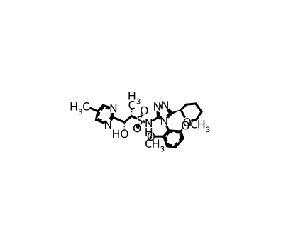 COc1cccc(OC)c1-n1c(NS(=O)(=O)[C@@H](C)[C@H](O)c2ncc(C)cn2)nnc1[C@H]1CCCCO1